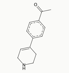 CC(=O)c1ccc(C2=CCNCC2)cc1